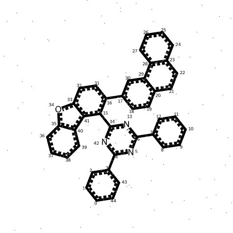 c1ccc(-c2nc(-c3ccccc3)nc(-c3c(-c4ccc5ccc6ccccc6c5c4)ccc4oc5ccccc5c34)n2)cc1